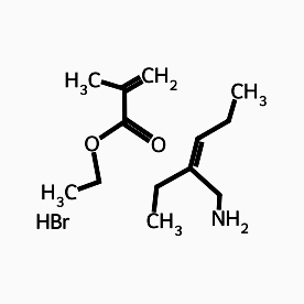 Br.C=C(C)C(=O)OCC.CCC=C(CC)CN